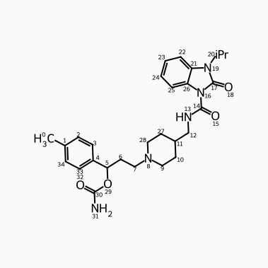 Cc1ccc(C(CCN2CCC(CNC(=O)n3c(=O)n(C(C)C)c4ccccc43)CC2)OC(N)=O)cc1